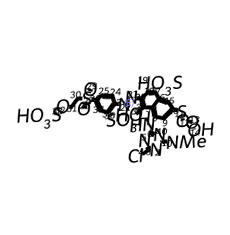 CNc1nc(Cl)nc(Nc2cc(SOOO)cc3cc(S(=O)(=O)O)c(/N=N/c4ccc(S(=O)(=O)CCOS(=O)(=O)O)cc4S(=O)(=O)O)c(O)c23)n1